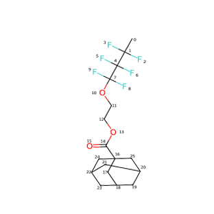 CC(F)(F)C(F)(F)C(F)(F)OCCOC(=O)C12CC3CC(CC(C3)C1)C2